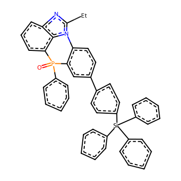 CCc1nc2cccc3c2n1-c1ccc(-c2ccc([Si](c4ccccc4)(c4ccccc4)c4ccccc4)cc2)cc1P3(=O)c1ccccc1